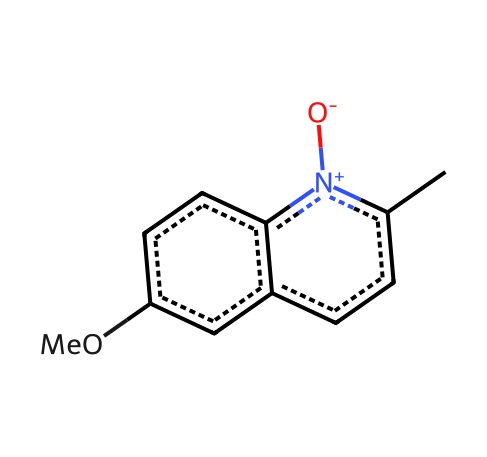 COc1ccc2c(ccc(C)[n+]2[O-])c1